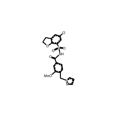 COc1cc(C(=O)NS(=O)(=O)c2cc(Cl)cc3c2OCC3)ccc1Cn1cccn1